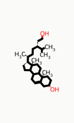 CC(C)[C@@H](CCO)CC[C@@H](C)[C@H]1CCC2C3CC=C4C[C@@H](O)CC[C@]4(C)C3CC[C@@]21C